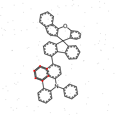 c1ccc(-c2ccccc2N(c2ccccc2)c2ccc(-c3cccc4c3-c3ccccc3C43c4ccccc4Oc4c3ccc3ccccc43)c3ccccc23)cc1